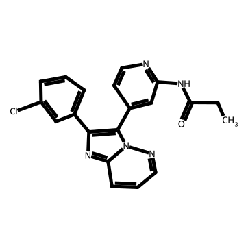 CCC(=O)Nc1cc(-c2c(-c3cccc(Cl)c3)nc3cccnn23)ccn1